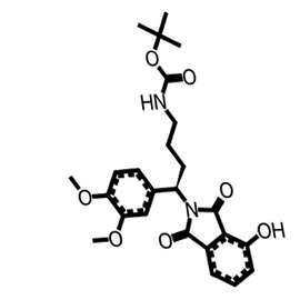 COc1ccc([C@@H](CCCNC(=O)OC(C)(C)C)N2C(=O)c3cccc(O)c3C2=O)cc1OC